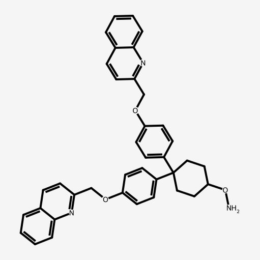 NOC1CCC(c2ccc(OCc3ccc4ccccc4n3)cc2)(c2ccc(OCc3ccc4ccccc4n3)cc2)CC1